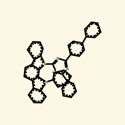 c1ccc(-c2ccc(C3=NC(c4ccccc4)NC(n4c5ccccc5c5ccc6c7ccccc7n(-c7ccccc7)c6c54)=N3)cc2)cc1